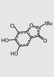 CC(C)(C)n1oc2c(Cl)c(O)c(O)cc2c1=O